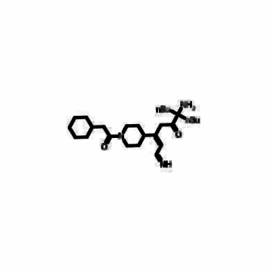 CCCCC(N)(CCCC)C(=O)C/C(=C/C=N)C1CCN(C(=O)CC2CCCCC2)CC1